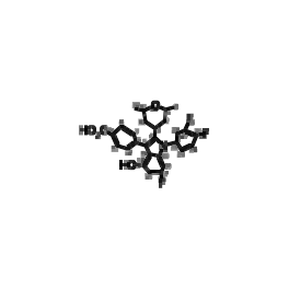 CC1CC(c2c(-c3ccc(C(=O)O)cc3)c3c(O)cc(F)cc3n2-c2ccc(F)c(F)c2)CC(C)O1